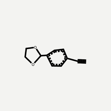 C#Cc1ccc(C2OCCO2)cc1